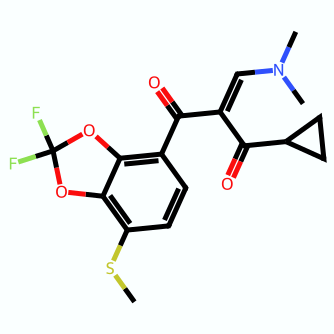 CSc1ccc(C(=O)C(=CN(C)C)C(=O)C2CC2)c2c1OC(F)(F)O2